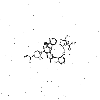 C=CC(=O)N1CCN(c2nc(=O)n3c4nc(c(C)cc24)-c2c(F)cccc2OCC(OC(=O)C(C)C)C(OC(=O)C(C)C)c2ccnc(C(C)C)c2-3)[C@@H](C)C1